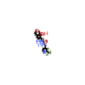 O=C(NCc1ccnc(C(F)(F)F)c1)NCC1CCC2(CCOCC2)C1O